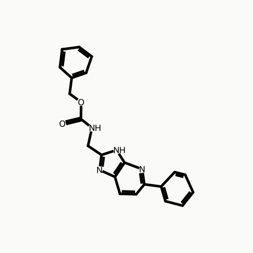 O=C(NCc1nc2ccc(-c3ccccc3)nc2[nH]1)OCc1ccccc1